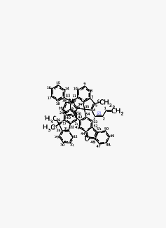 C=C/C=C\C1=C(C)c2cccc(N(c3ccccc3)c3ccc4c(c3)C(C)(C)c3ccccc3-4)c2C12c1ccccc1-c1cc3oc4ccccc4c3cc12